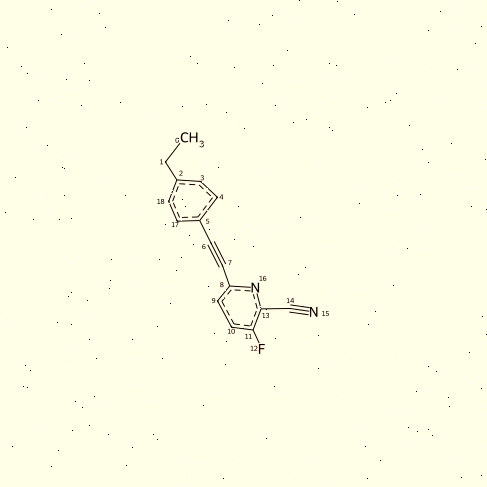 CCc1ccc(C#Cc2ccc(F)c(C#N)n2)cc1